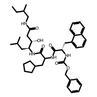 CCC(C)CNC(=O)C[C@H](O)[C@H](CC(C)C)NC(=O)C(CC1CCCC1)NC(=O)[C@H](Cc1cccc2ccccc12)NC(=O)OCc1ccccc1